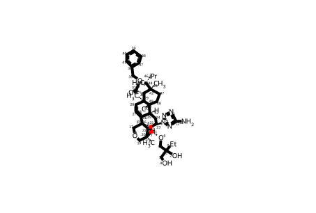 CCC(O)(CO)CO[C@H]1[C@H](n2nnc(N)n2)C[C@@]23COC[C@@]1(C)[C@@H]2CC[C@H]1C3=CC[C@@]2(C)[C@H](C(=O)OCc3ccccc3)[C@@](C)([C@H](C)C(C)C)CC[C@]12C